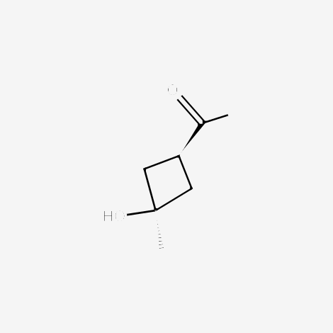 CC(=O)[C@H]1C[C@@](C)(O)C1